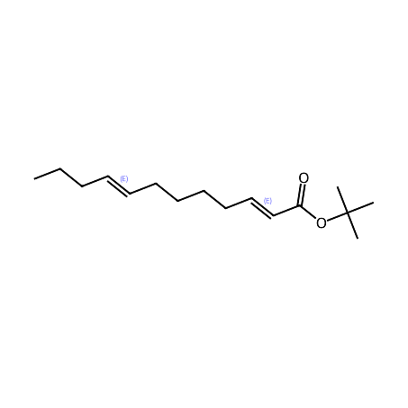 CCC/C=C/CCCC/C=C/C(=O)OC(C)(C)C